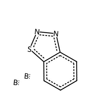 [B].[B].c1ccc2snnc2c1